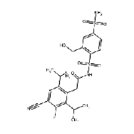 CC(C)c1cc(C#N)c(F)c(C(C)C)c1CC(=O)NS(=O)(=O)c1ccc(S(N)(=O)=O)cc1CO